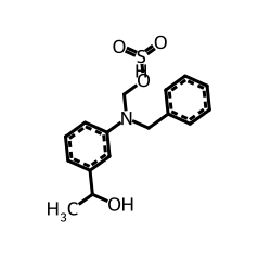 CC(O)c1cccc(N(CO[SH](=O)=O)Cc2ccccc2)c1